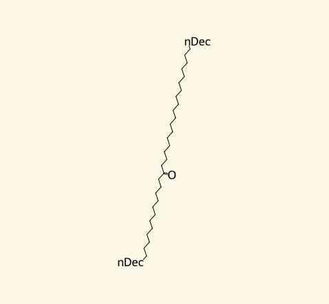 CCCCCCCCCCCCCCCCCCCCCCCCCCCCC(=O)CCCCCCCCCCCCCCCCCCCCCC